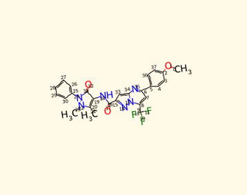 COc1ccc(-c2cc(C(F)(F)F)n3nc(C(=O)Nc4c(C)n(C)n(-c5ccccc5)c4=O)cc3n2)cc1